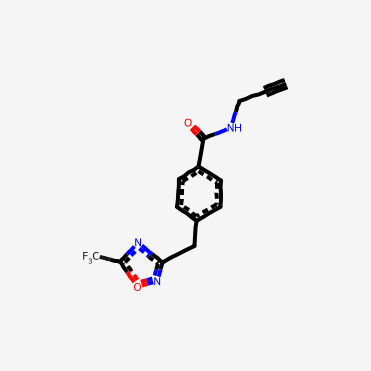 C#CCNC(=O)c1ccc(Cc2noc(C(F)(F)F)n2)cc1